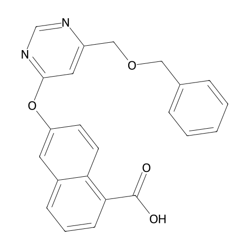 O=C(O)c1cccc2cc(Oc3cc(COCc4ccccc4)ncn3)ccc12